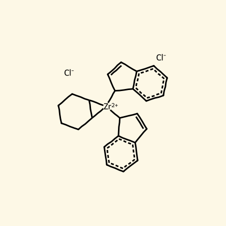 C1=C[CH]([Zr+2]2([CH]3C=Cc4ccccc43)[CH]3CCCC[CH]32)c2ccccc21.[Cl-].[Cl-]